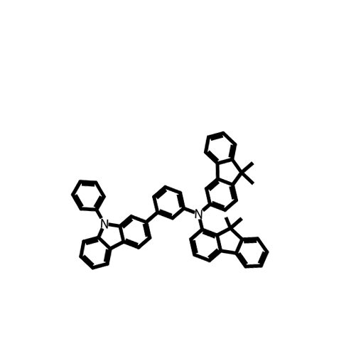 CC1(C)c2ccccc2-c2cc(N(c3cccc(-c4ccc5c6ccccc6n(-c6ccccc6)c5c4)c3)c3cccc4c3C(C)(C)c3ccccc3-4)ccc21